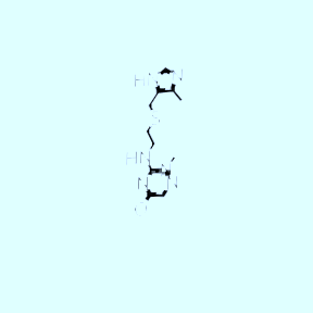 Cc1nc[nH]c1CSCCNc1nc(=O)cnn1C